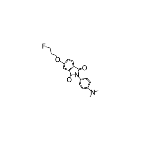 CN(C)c1ccc(N2C(=O)c3ccc(OCCCF)cc3C2=O)cc1